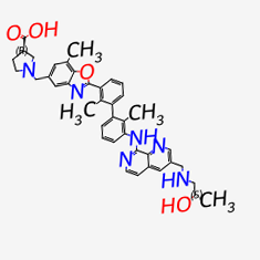 Cc1c(Nc2nccc3cc(CNC[C@H](C)O)cnc23)cccc1-c1cccc(-c2nc3cc(CN4CC[C@@H](C(=O)O)C4)cc(C)c3o2)c1C